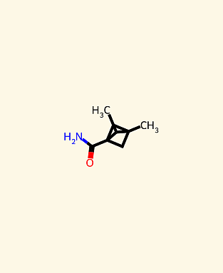 CC1C2(C)CC1(C(N)=O)C2